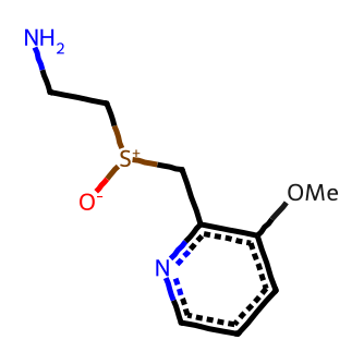 COc1cccnc1C[S+]([O-])CCN